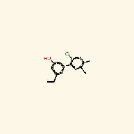 CCc1cc(O)cc(-c2cc(C)c(C)cc2Cl)c1